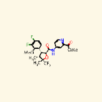 COC(=O)c1cc(NC(=O)[C@H]2O[C@](C)(C(F)(F)F)[C@H](C)[C@@H]2c2ccc(F)c(F)c2OC)ccn1